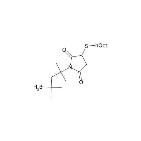 BC(C)(C)CC(C)(C)N1C(=O)CC(SCCCCCCCC)C1=O